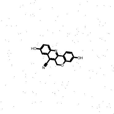 N#Cc1c2c(nc3ccc(O)cc13)-c1ccc(O)cc1OC2